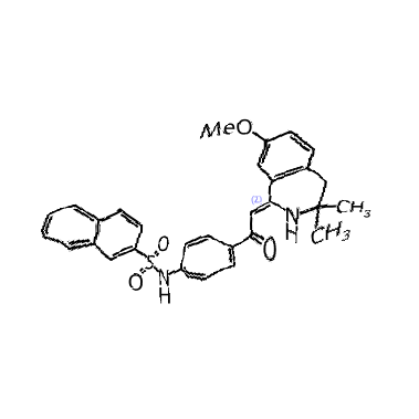 COc1ccc2c(c1)/C(=C/C(=O)c1ccc(NS(=O)(=O)c3ccc4ccccc4c3)cc1)NC(C)(C)C2